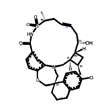 C[C@@H]1C[C@@H]2[C@@H]1CN1C[C@@]3(CCCc4cc(Cl)ccc43)COc3ccc(cc31)C(=O)NS(=O)(=O)[C@H](C)C/C=C/C[C@@H]2O